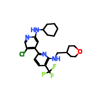 FC(F)(F)c1ccc(-c2cc(NC3CCCCC3)ncc2Cl)nc1NCC1CCOCC1